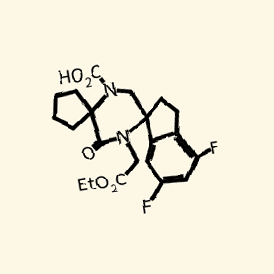 CCOC(=O)CN1C(=O)C2(CCCC2)N(C(=O)O)CC12CCc1c(F)cc(F)cc12